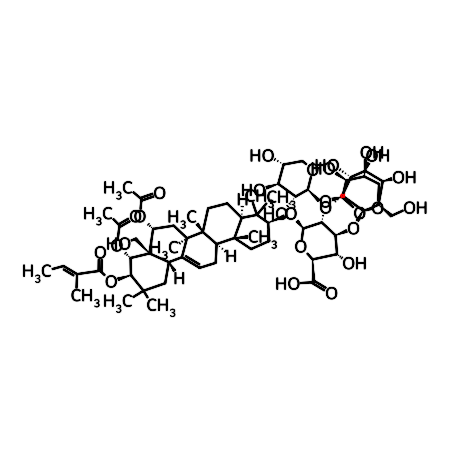 C/C=C(\C)C(=O)O[C@H]1[C@H](OC(C)=O)[C@]2(CO)[C@H](OC(C)=O)C[C@]3(C)C(=CC[C@@H]4[C@@]5(C)CC[C@H](O[C@@H]6O[C@H](C(=O)O)[C@@H](O)[C@H](O[C@@H]7OC[C@H](O)[C@H](O)[C@H]7O[C@@H]7OC[C@@H](O)[C@H](O)[C@H]7O)[C@H]6O[C@@H]6O[C@H](CO)[C@H](O)[C@H](O)[C@H]6O)C(C)(C)[C@@H]5CC[C@]43C)[C@@H]2CC1(C)C